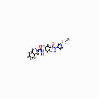 CC(C)CCn1cc(NC(=O)c2ccc(NC(=O)N3CCc4ccccc4C3)cc2)cn1